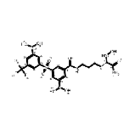 O=C(NCCCC[C@H](NO)C(=O)P)c1cc(B(O)O)cc(S(=O)(=O)c2cc(B(O)O)cc(C(F)(F)F)c2)c1